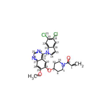 C=CC(=O)N1CCC(Oc2cc3c(-n4ccc5cc(Cl)c(Cl)cc54)ncnc3cc2OC)CC1